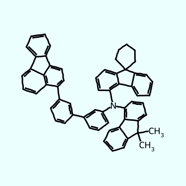 CC1(C)c2ccccc2-c2c(N(c3cccc(-c4cccc(-c5ccc6c7c(cccc57)-c5ccccc5-6)c4)c3)c3cccc4c3-c3ccccc3C43CCCCC3)cccc21